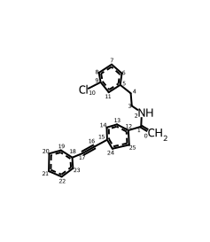 C=C(NCCc1cccc(Cl)c1)c1ccc(C#Cc2ccccc2)cc1